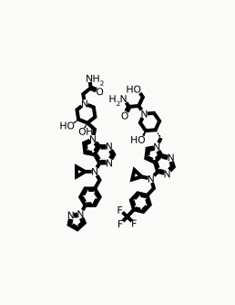 NC(=O)C(CO)N1CC[C@H](Cn2ccc3c(N(Cc4ccc(C(F)(F)F)cc4)C4CC4)ncnc32)[C@@H](O)C1.NC(=O)CN1CC[C@@](O)(Cn2ccc3c(N(Cc4ccc(-n5cccn5)cc4)C4CC4)ncnc32)[C@H](O)C1